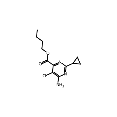 CCCCOC(=O)c1nc(C2CC2)nc(N)c1Cl